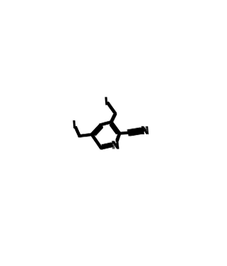 N#Cc1ncc(CI)cc1CI